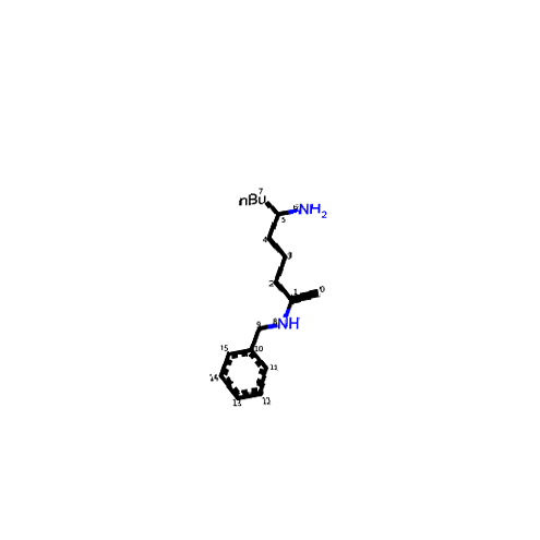 C=C(CCCC(N)CCCC)NCc1ccccc1